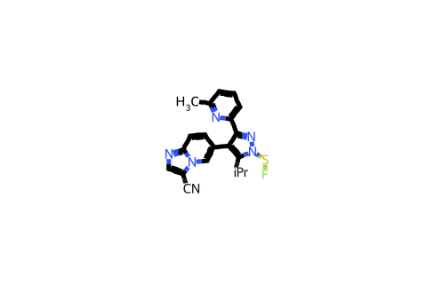 Cc1cccc(-c2nn(SF)c(C(C)C)c2-c2ccc3ncc(C#N)n3c2)n1